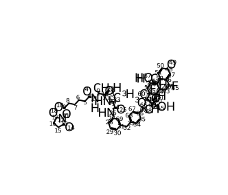 CC(NC(=O)CCCCC(=O)ON1C(=O)CCC1=O)C(=O)N[C@@H](C)C(=O)Nc1cccc(Cc2ccc([C@@H]3O[C@@H]4C[C@H]5[C@@H]6C[C@H](F)C7=CC(=O)C=CC7(C)[C@@]6(F)C(O)CC5(C)[C@]4(C(=O)CO)O3)cc2)c1